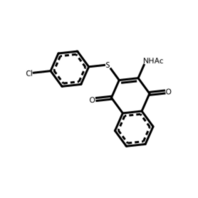 CC(=O)NC1=C(Sc2ccc(Cl)cc2)C(=O)c2ccccc2C1=O